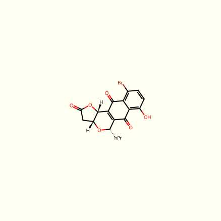 CCC[C@@H]1O[C@@H]2CC(=O)O[C@@H]2C2=C1C(=O)c1c(O)ccc(Br)c1C2=O